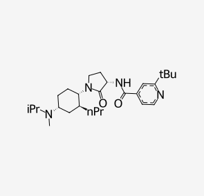 CCC[C@H]1C[C@H](N(C)C(C)C)CC[C@@H]1N1CC[C@H](NC(=O)c2ccnc(C(C)(C)C)c2)C1=O